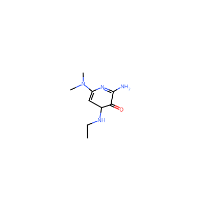 CCNC1C=C(N(C)C)N=C(N)C1=O